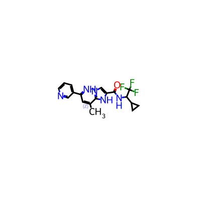 C/C(=C/C(=N)c1cccnc1)c1ncc(C(=O)NC(C2CC2)C(F)(F)F)[nH]1